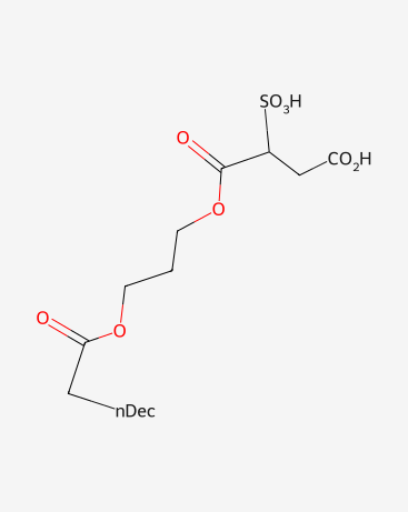 CCCCCCCCCCCC(=O)OCCCOC(=O)C(CC(=O)O)S(=O)(=O)O